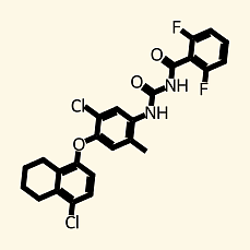 Cc1cc(Oc2ccc(Cl)c3c2CCCC3)c(Cl)cc1NC(=O)NC(=O)c1c(F)cccc1F